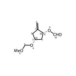 C=C1C[C@@H](OCOC)C[C@H]1OC=O